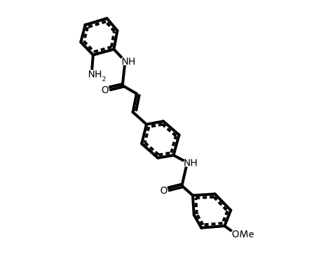 COc1ccc(C(=O)Nc2ccc(C=CC(=O)Nc3ccccc3N)cc2)cc1